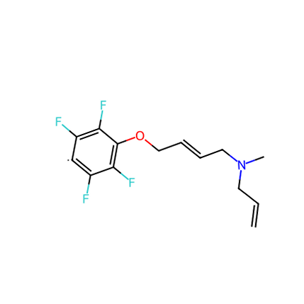 C=CCN(C)C/C=C/COc1c(F)c(F)[c]c(F)c1F